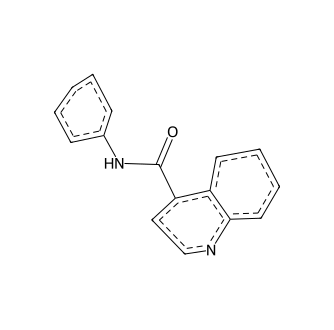 O=C(Nc1ccccc1)c1ccnc2ccccc12